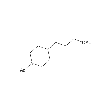 CC(=O)OCCCC1CCN(C(C)=O)CC1